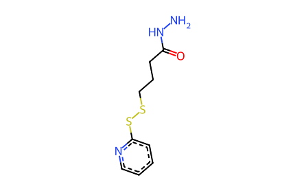 NNC(=O)CCCSSc1ccccn1